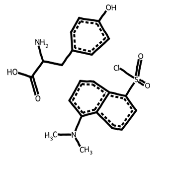 CN(C)c1cccc2c(S(=O)(=O)Cl)cccc12.NC(Cc1ccc(O)cc1)C(=O)O